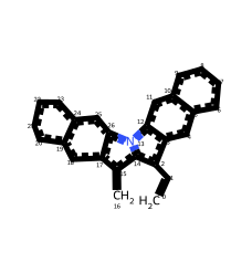 C=Cc1c2cc3ccccc3cc2n2c1c(=C)c1cc3ccccc3cc12